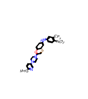 COc1ccc(N2CCN(C(C=S)OC3CCC(Nc4ccc([N+](=O)[O-])c(C(F)(F)F)c4)CC3)CC2)cn1